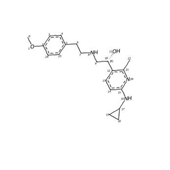 COc1ccc(CCNC[C@H](O)c2ccc(NC3CC3)nc2C)cc1